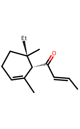 C/C=C/C(=O)[C@@H]1C(C)=CCC[C@@]1(C)CC